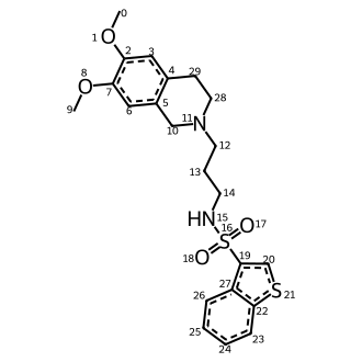 COc1cc2c(cc1OC)CN(CCCNS(=O)(=O)c1csc3ccccc13)CC2